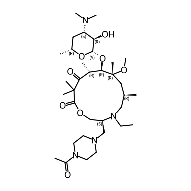 CCN1C[C@H](C)C[C@@](C)(OC)[C@H](O[C@@H]2O[C@H](C)C[C@H](N(C)C)[C@H]2O)[C@@H](C)C(=O)C(C)(C)C(=O)OC[C@@H]1CN1CCN(C(C)=O)CC1